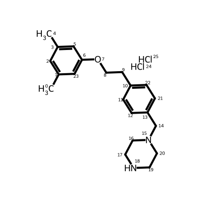 Cc1cc(C)cc(OCCc2ccc(CN3CCNCC3)cc2)c1.Cl.Cl